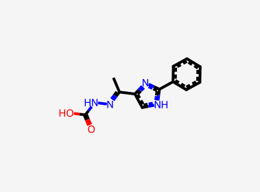 CC(=NNC(=O)O)c1c[nH]c(-c2ccccc2)n1